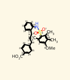 COc1cc(C)c(S(=O)(=O)Nc2ccccc2CCCc2ccc(C(=O)O)cc2)c(C)c1C